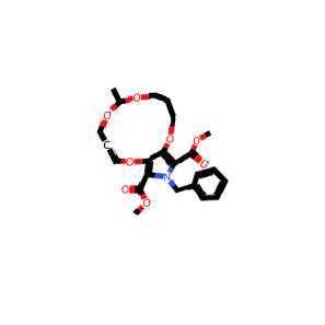 COC(=O)c1c2c(c(C(=O)OC)n1Cc1ccccc1)OCCCOC(C)OCCCO2